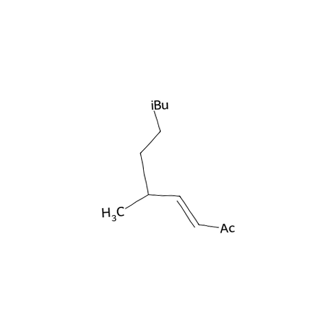 CCC(C)CCC(C)C=CC(C)=O